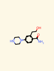 NC(=O)c1ccc(N2CCNCC2)cc1CCO